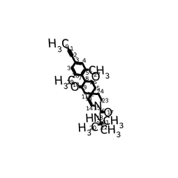 CC#Cc1cc(C)c(C2C(=O)CC3(C=CN(C(=O)NC(C)(C)C)CC3)CC2=O)c(C)c1